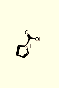 O=C(O)[SH]1C=CC=C1